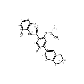 C[C@H](Oc1cc(-c2cc3c(cn2)CNCC3)c(F)cc1C(=O)Nc1c(F)cccc1Cl)C(F)(F)F